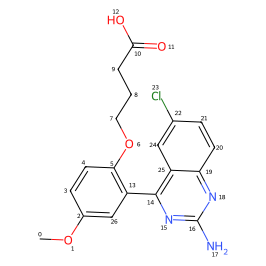 COc1ccc(OCCCC(=O)O)c(-c2nc(N)nc3ccc(Cl)cc23)c1